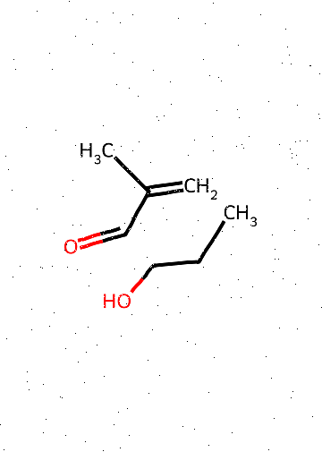 C=C(C)C=O.CCCO